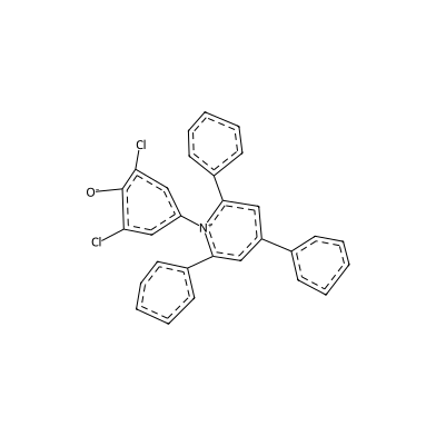 [O-]c1c(Cl)cc(-[n+]2c(-c3ccccc3)cc(-c3ccccc3)cc2-c2ccccc2)cc1Cl